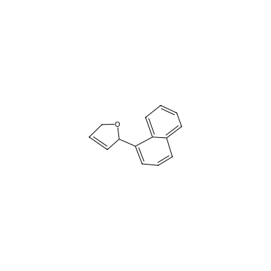 C1=CC(c2cccc3ccccc23)OC1